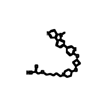 Cn1c2ccncc2c2ccc(-c3ccc(O[C@H]4C[C@H](OC5CCN(CCCCCOCC(=O)O)CC5)C4)nc3)cc21